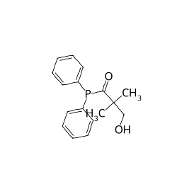 CC(C)(CO)C(=O)P(c1ccccc1)c1ccccc1